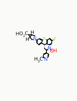 Cc1cc(/C(C[C@H](c2ccc(N3C[C@@H]4C(C(=O)O)[C@@H]4C3)cc2)c2ccc(F)cc2F)=N\O)ccn1